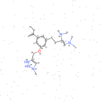 C=C(CC)c1cc(CC/C(=C/N(C)C)N(C)C)cc(OCC2=CN(C)NN2)c1